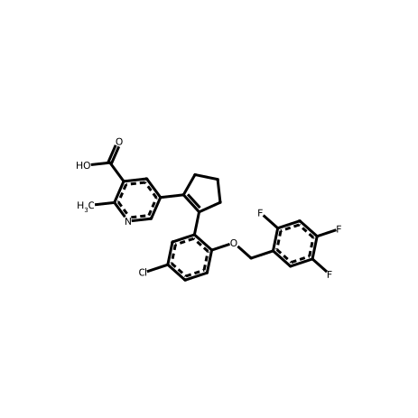 Cc1ncc(C2=C(c3cc(Cl)ccc3OCc3cc(F)c(F)cc3F)CCC2)cc1C(=O)O